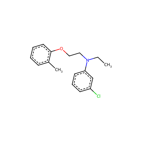 CCN(CCOc1ccccc1C)c1cccc(Cl)c1